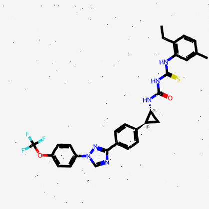 CCc1ccc(C)cc1NC(=S)NC(=O)N[C@@H]1C[C@H]1c1ccc(-c2ncn(-c3ccc(OC(F)(F)F)cc3)n2)cc1